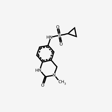 CN1Cc2cc(NS(=O)(=O)C3CC3)ccc2NC1=O